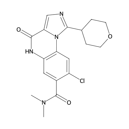 CN(C)C(=O)c1cc2[nH]c(=O)c3cnc(C4CCOCC4)n3c2cc1Cl